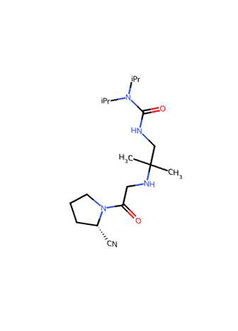 CC(C)N(C(=O)NCC(C)(C)NCC(=O)N1CCC[C@H]1C#N)C(C)C